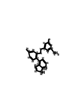 Cc1cc(N)nc(CCc2cc(C)ccc2-c2ccnc3[nH]cnc23)c1